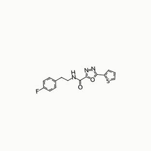 O=C(NCCc1ccc(F)cc1)c1nnc(-c2cccs2)o1